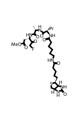 COC(=O)C[C@H](NC(=O)[C@H](C)NC(=O)[C@@H](NC(=O)CCCCCNC(=O)CCCC[C@@H]1SC[C@@H]2NC(=O)N[C@@H]21)C(C)C)C(=O)CF